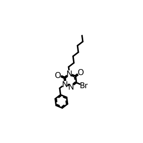 CCCCCCCn1c(=O)c(Br)nn(Cc2ccccc2)c1=O